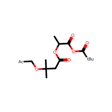 CC(=O)COC(C)(C)CC(=O)OC(C)C(=O)OC(=O)C(C)(C)C